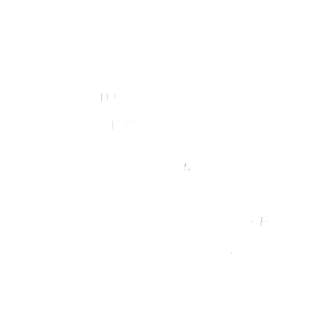 CC1(C)c2ccccc2-c2ccc(N(C3=CCC(c4ccc5ccccc5c4)C=C3)c3c4c(cc5ccccc35)C(C)(C)c3ccccc3-4)cc21